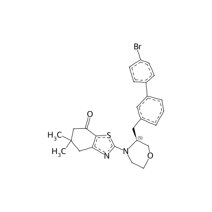 CC1(C)CC(=O)c2sc(N3CCOC[C@@H]3Cc3cccc(-c4ccc(Br)cc4)c3)nc2C1